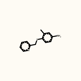 Cc1cc(N)ccc1SCc1ccccn1